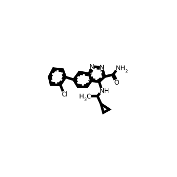 CC(Nc1c(C(N)=O)nnc2cc(-c3ccccc3Cl)ccc12)C1CC1